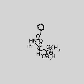 CC(C)[C@H](NC(=O)OCc1ccccc1)C(=O)N[C@H](/C=C(\Cl)S(C)(=O)=O)CC(=O)O